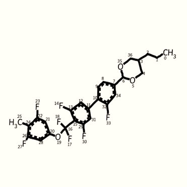 CCCC1COC(c2ccc(-c3cc(F)c(C(F)(F)Oc4cc(F)c(C)c(F)c4)c(F)c3)c(F)c2)OC1